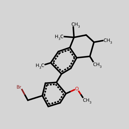 COc1ccc(CBr)cc1-c1cc2c(cc1C)C(C)(C)CC(C)C2C